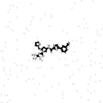 CC(C)(C)OC(=O)N1CC(NC(=O)c2ncc(-c3cccc(C#N)c3)o2)C[C@@H]1Cn1cccn1